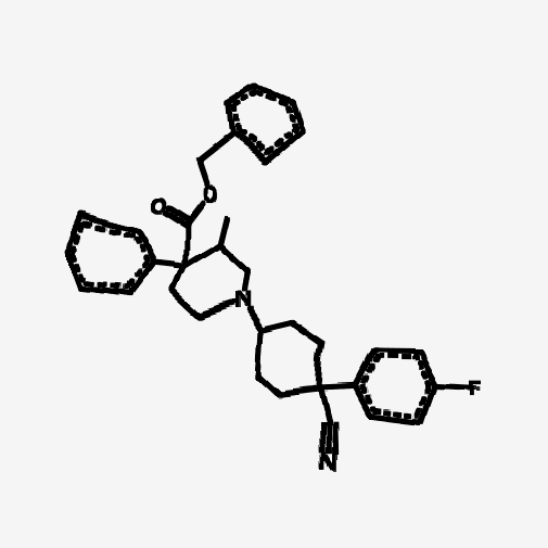 CC1CN(C2CCC(C#N)(c3ccc(F)cc3)CC2)CCC1(C(=O)OCc1ccccc1)c1ccccc1